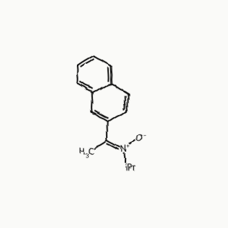 CC(c1ccc2ccccc2c1)=[N+]([O-])C(C)C